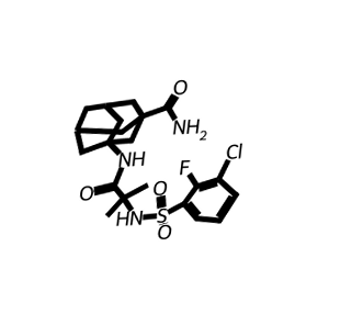 CC(C)(NS(=O)(=O)c1cccc(Cl)c1F)C(=O)NC12CC3CC(C1)CC(C(N)=O)(C3)C2